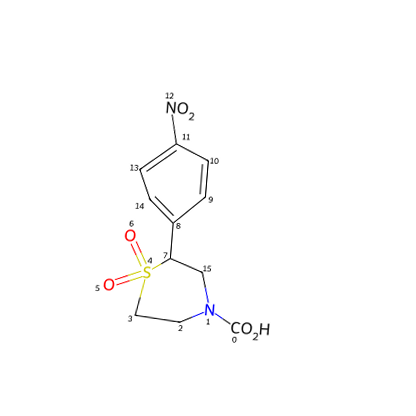 O=C(O)N1CCS(=O)(=O)C(c2ccc([N+](=O)[O-])cc2)C1